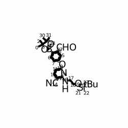 CC1(C)OB(c2ccc(Oc3ccc(C#N)c(NCCO[Si](C)(C)C(C)(C)C)n3)cc2C=O)OC1(C)C